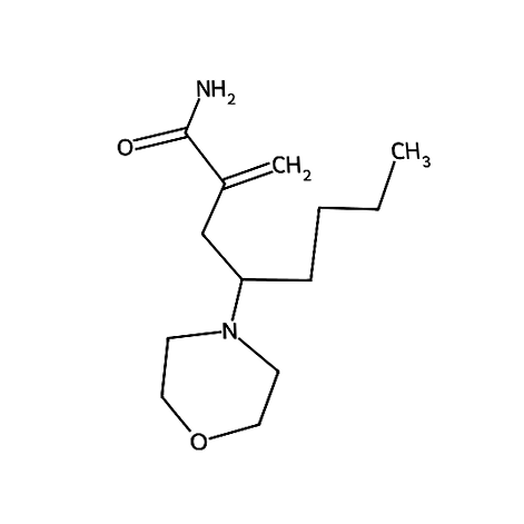 C=C(CC(CCCC)N1CCOCC1)C(N)=O